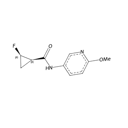 COc1ccc(NC(=O)[C@H]2C[C@H]2F)cn1